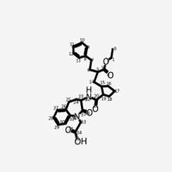 CCOC(=O)C(CCc1ccccc1)CC1CCCC1C(=O)NC1CCc2ccccc2N(CC(=O)O)C1=O